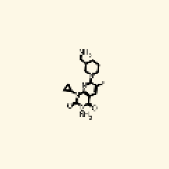 NCC1CCCN(c2nc3c(cc2F)c(=O)n(N)c(=O)n3C2CC2)C1